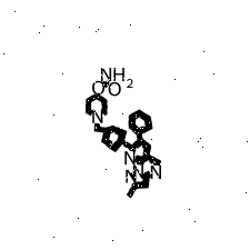 Cc1cc2ncc3cc(-c4ccccc4)c(-c4ccc(CN5CCC(OC(N)=O)CC5)cc4)nc3n2n1